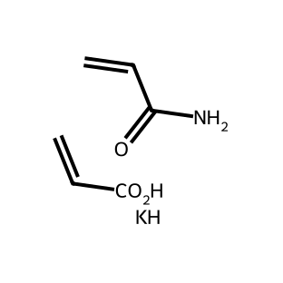 C=CC(=O)O.C=CC(N)=O.[KH]